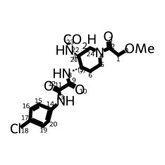 COCC(=O)N1CC[C@H](NC(=O)C(=O)Nc2ccc(Cl)cc2)[C@H](NC(=O)O)C1